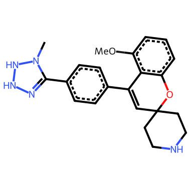 COc1cccc2c1C(c1ccc(C3=NNNN3C)cc1)=CC1(CCNCC1)O2